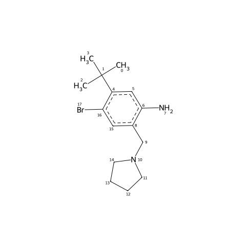 CC(C)(C)c1cc(N)c(CN2CCCC2)cc1Br